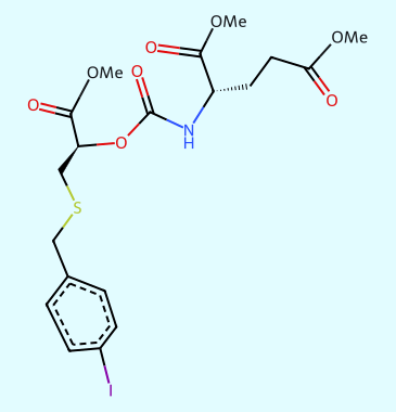 COC(=O)CC[C@H](NC(=O)O[C@@H](CSCc1ccc(I)cc1)C(=O)OC)C(=O)OC